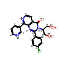 O=c1c2ccnc(-c3cccnc3)c2nc(-c2ccc(Cl)cc2)n1C(CO)CO